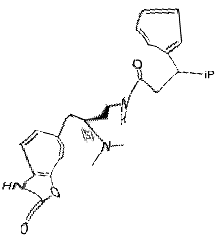 CC(C)C(CC(=O)NC[C@H](Cc1ccc2[nH]c(=O)oc2c1)N(C)C)c1ccccc1